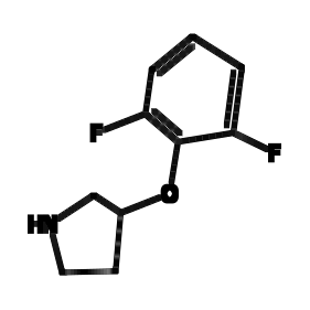 Fc1cccc(F)c1OC1CCNC1